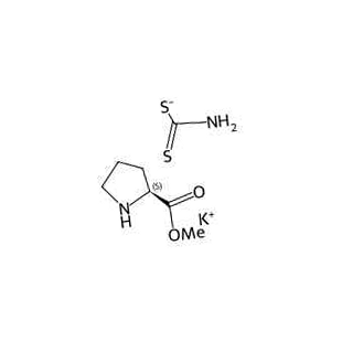 COC(=O)[C@@H]1CCCN1.NC(=S)[S-].[K+]